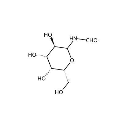 O=[C]NC1O[C@H](CO)[C@H](O)[C@H](O)[C@H]1O